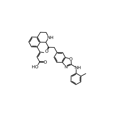 CC(=CC(=O)O)c1cccc2c1C(C(=O)Cc1ccc3nc(Nc4ccccc4C)oc3c1)NCC2